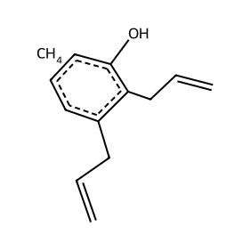 C.C=CCc1cccc(O)c1CC=C